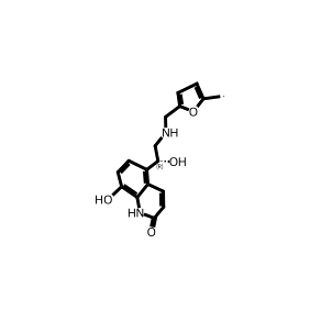 [CH2]c1ccc(CNC[C@H](O)c2ccc(O)c3[nH]c(=O)ccc23)o1